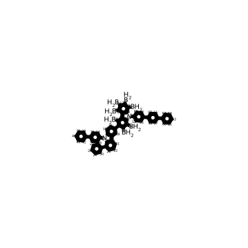 Bc1c(B)c(B)c2c(c1B)c1c(B)c(-c3ccc4c(c3)c3cccc(-c5ccccc5)c3n4-c3ccc(-c4ccccc4)cc3)c(B)c(B)c1n2-c1ccc(-c2ccc(-c3ccccc3)cc2)cc1